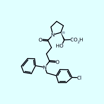 O=C(O)C(O)[C@@H]1CCCN1C(=O)CCC(=O)N(Cc1ccc(Cl)cc1)c1ccccc1